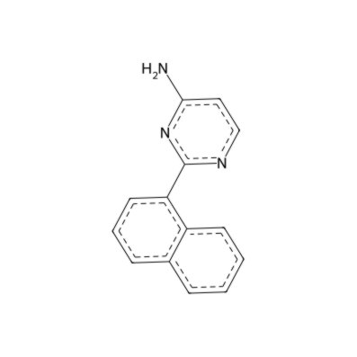 Nc1ccnc(-c2cccc3ccccc23)n1